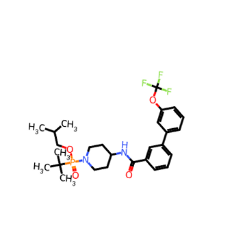 CC(C)COP(=O)(N1CCC(NC(=O)c2cccc(-c3cccc(OC(F)(F)F)c3)c2)CC1)C(C)(C)C